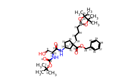 CC(C)(C)OC(=O)N[C@@H](CO)C(=O)N[C@H]1CC[C@@](CCCCB2OC(C)(C)C(C)(C)O2)(C(=O)OCc2ccccc2)C1